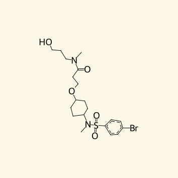 CN(CCCO)C(=O)CCOC1CCC(N(C)S(=O)(=O)c2ccc(Br)cc2)CC1